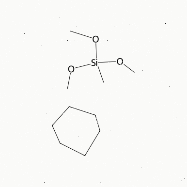 C1CCCCC1.CO[Si](C)(OC)OC